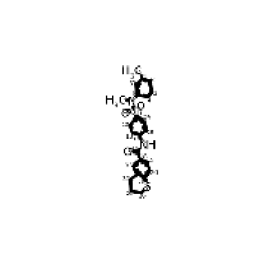 Cc1cccc(N(C)S(=O)(=O)c2ccc(NC(=O)c3ccc4c(c3)CCCS4)cc2)c1